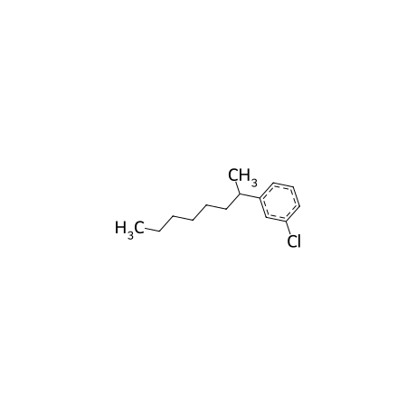 CCCCCCC(C)c1cccc(Cl)c1